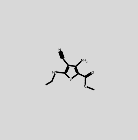 CCNc1sc(C(=O)OC)c(N)c1C#N